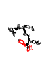 C=CC(C)=CC=C(C)C(=O)O